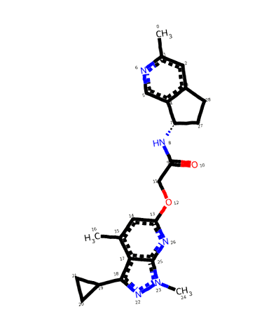 Cc1cc2c(cn1)[C@@H](NC(=O)COc1cc(C)c3c(C4CC4)nn(C)c3n1)CC2